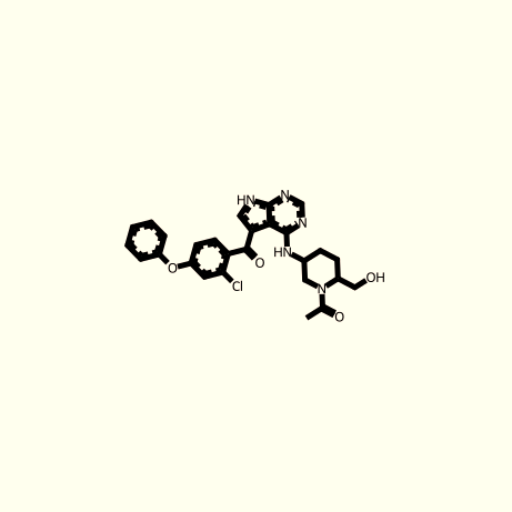 CC(=O)N1CC(Nc2ncnc3[nH]cc(C(=O)c4ccc(Oc5ccccc5)cc4Cl)c23)CCC1CO